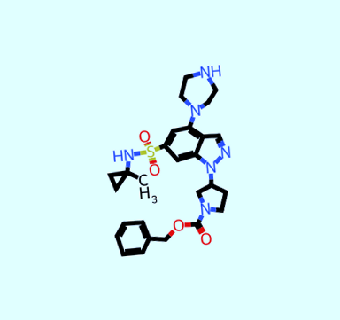 CC1(NS(=O)(=O)c2cc(N3CCNCC3)c3cnn(C4CCN(C(=O)OCc5ccccc5)C4)c3c2)CC1